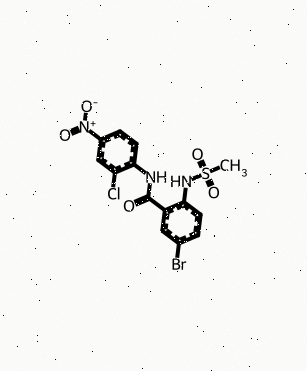 CS(=O)(=O)Nc1ccc(Br)cc1C(=O)Nc1ccc([N+](=O)[O-])cc1Cl